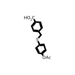 CC(=O)Oc1ccc(SCc2ccc(C(=O)O)cc2)cc1